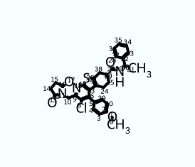 COc1ccc(-c2c(Cl)c(CN3C(=O)CCC3=O)nc3sc4c(c23)CC[C@H](C(=O)N[C@H](C)c2ccccc2)C4)cc1